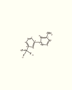 Nc1ncnc(-c2cccc(C(F)(F)F)c2)n1